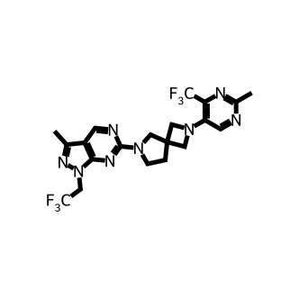 Cc1ncc(N2CC3(CCN(c4ncc5c(C)nn(CC(F)(F)F)c5n4)C3)C2)c(C(F)(F)F)n1